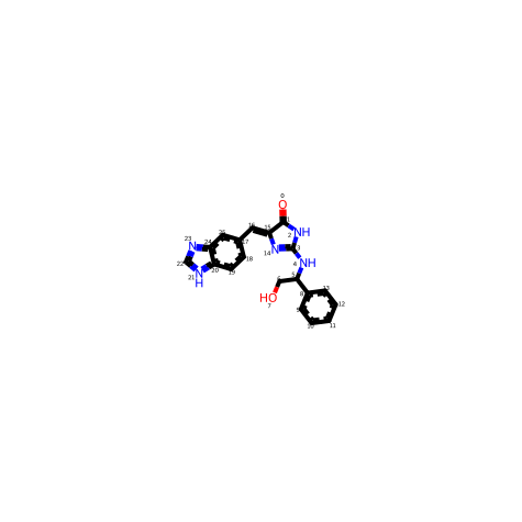 O=C1NC(NC(CO)c2ccccc2)=N/C1=C\c1ccc2[nH]cnc2c1